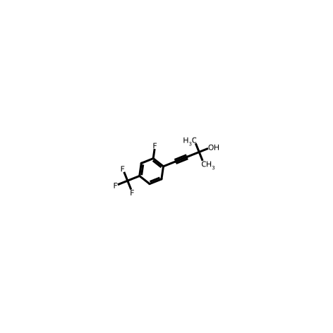 CC(C)(O)C#Cc1ccc(C(F)(F)F)cc1F